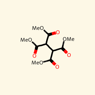 COC(=O)C(C(=O)OC)C(C(=O)OC)C(=O)OC